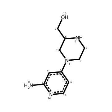 Nc1cc(N2CCNC(CO)C2)ccn1